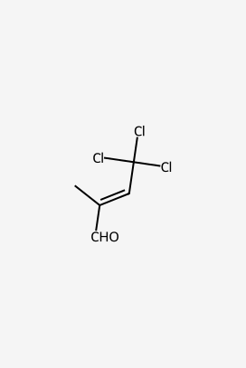 C/C(C=O)=C\C(Cl)(Cl)Cl